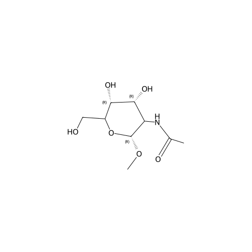 CO[C@@H]1OC(CO)[C@H](O)[C@H](O)C1NC(C)=O